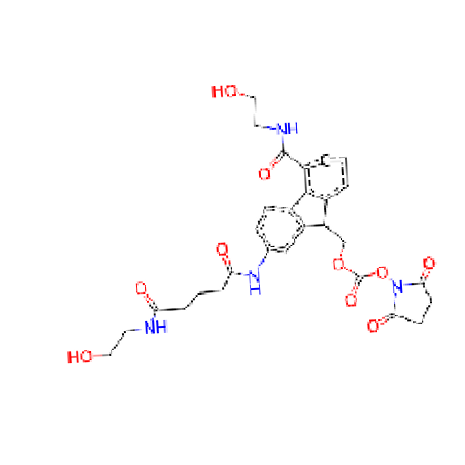 O=C(CCCC(=O)Nc1ccc2c(c1)C(COC(=O)ON1C(=O)CCC1=O)c1cccc(C(=O)NCCO)c1-2)NCCO